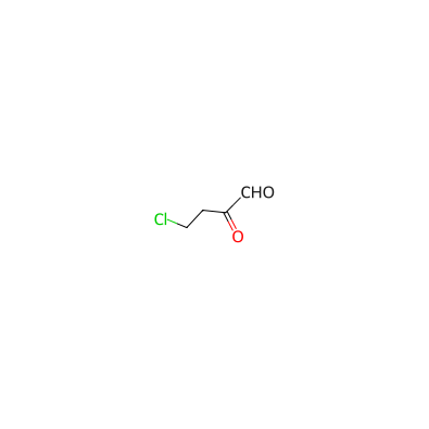 O=CC(=O)CCCl